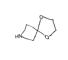 C1COC2(CNC2)O1